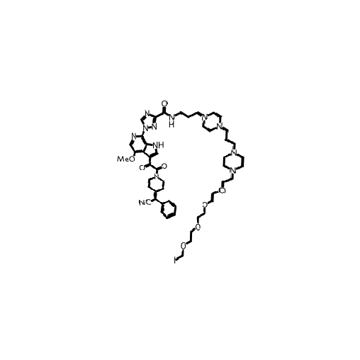 COc1cnc(-n2cnc(C(=O)NCCCN3CCN(CCCN4CCN(CCOCCOCCOCCOCI)CC4)CC3)n2)c2[nH]cc(C(=O)C(=O)N3CCC(=C(C#N)c4ccccc4)CC3)c12